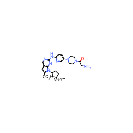 CNC.NCC(=O)N1CCN(c2ccc(Nc3ncc4cc(C(=O)O)n(C5CCCC5)c4n3)nc2)CC1